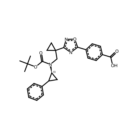 CC(C)(C)OC(=O)N(CC1(c2noc(-c3ccc(C(=O)O)cc3)n2)CC1)[C@H]1CC1c1ccccc1